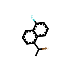 CC(Br)c1cccc2c(F)cccc12